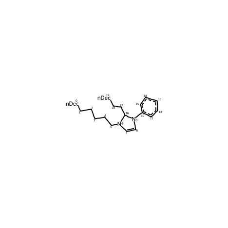 CCCCCCCCCCCCCCCN1C=CN(c2ccccc2)C1CCCCCCCCCCCC